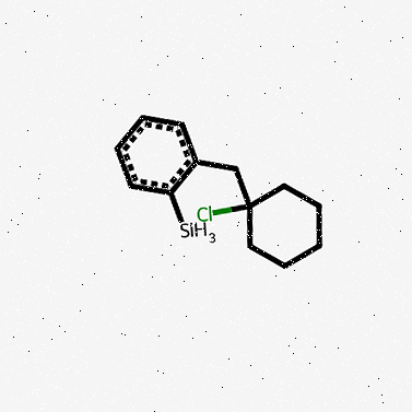 [SiH3]c1ccccc1CC1(Cl)CCCCC1